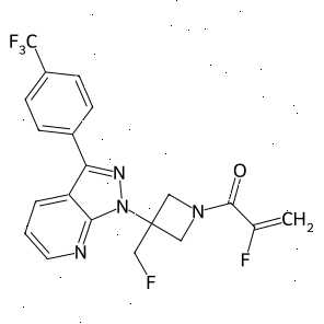 C=C(F)C(=O)N1CC(CF)(n2nc(-c3ccc(C(F)(F)F)cc3)c3cccnc32)C1